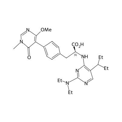 CCC(CC)c1cnc(N(CC)CC)nc1N[C@@H](Cc1ccc(-c2c(OC)ncn(C)c2=O)cc1)C(=O)O